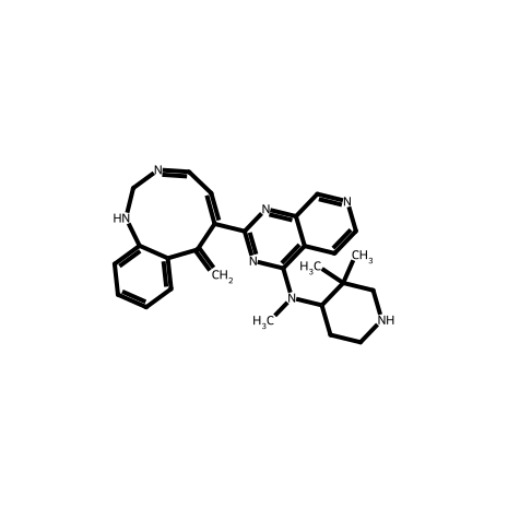 C=C1/C(c2nc(N(C)C3CCNCC3(C)C)c3ccncc3n2)=C\C=N/CNc2ccccc21